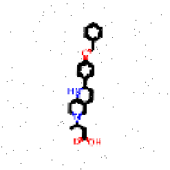 CC(CC(=O)O)N1CCC2=C(C=CC(c3ccc(OCc4ccccc4)cc3)N2)C1